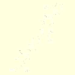 Cc1nc2cc(-c3ccccc3O)nnc2cc1N1CC2(CN(c3cc(C(C(=O)O)C(C)C)on3)C2)C1